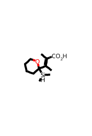 CC(C(=O)O)=C(C)C1([SiH](C)C)CCCCO1